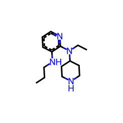 CCCNc1cccnc1N(CC)C1CCNCC1